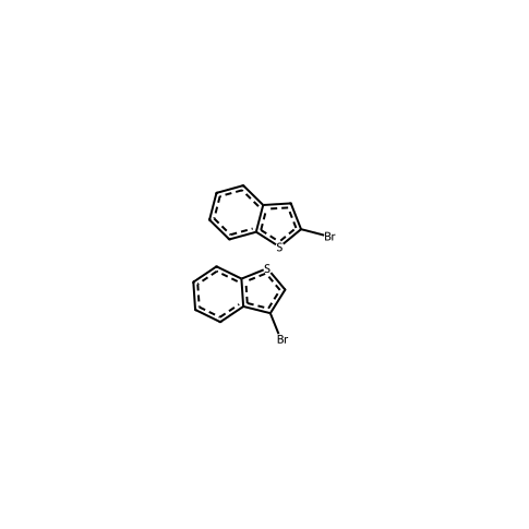 Brc1cc2ccccc2s1.Brc1csc2ccccc12